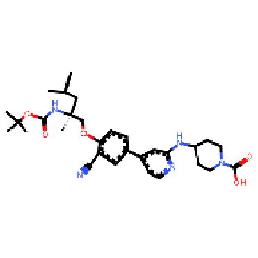 CC(C)C[C@@](C)(COc1ccc(-c2ccnc(NC3CCN(C(=O)O)CC3)c2)cc1C#N)NC(=O)OC(C)(C)C